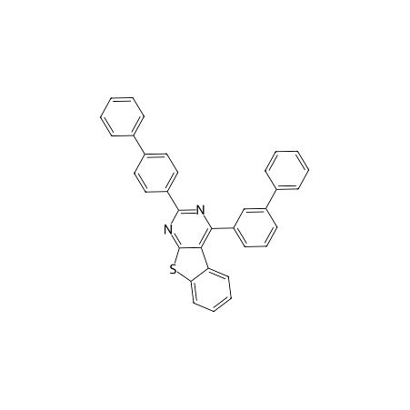 c1ccc(-c2ccc(-c3nc(-c4cccc(-c5ccccc5)c4)c4c(n3)sc3ccccc34)cc2)cc1